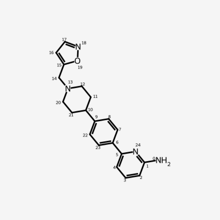 Nc1cccc(-c2ccc(C3CCN(Cc4ccno4)CC3)cc2)n1